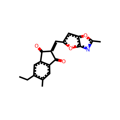 CCc1cc2c(cc1C)C(=O)/C(=C\c1cc3oc(C)nc3o1)C2=O